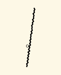 CCCCCCCCCCCCCCCCCCCCCCCCCCC(=O)CCCCCCCCCCCCCC